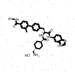 Cc1cc(C(=O)NC(C)C)ccc1-c1ccc(C[C@H](NC(=O)[C@H]2CC[C@H](CN)CC2)C(=O)Nc2ccc3nc[nH]c3c2)cc1.Cl